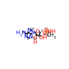 C[P@@](=O)(O)OC[C@H]1O[C@@H](n2cnc3c(N)ncnc32)[C@@H](O)C1O